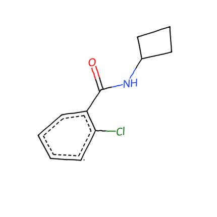 O=C(NC1CCC1)c1ccc[c]c1Cl